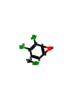 Brc1ccc2c(c1Br)O2.[Ti][Br]